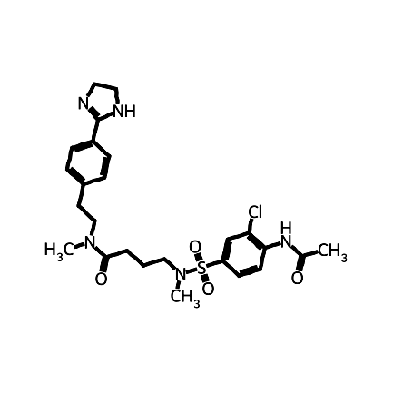 CC(=O)Nc1ccc(S(=O)(=O)N(C)CCCC(=O)N(C)CCc2ccc(C3=NCCN3)cc2)cc1Cl